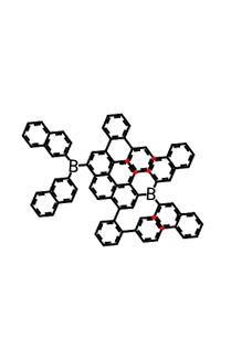 c1ccc(-c2ccccc2-c2cc(B(c3ccc4ccccc4c3)c3ccc4ccccc4c3)c3ccc4c(-c5ccccc5-c5ccccc5)cc(B(c5ccc6ccccc6c5)c5ccc6ccccc6c5)c5ccc2c3c54)cc1